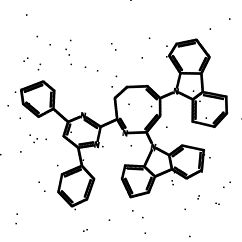 C1=C(n2c3ccccc3c3ccccc32)/C=C(n2c3ccccc3c3ccccc32)\N=C(\c2nc(-c3ccccc3)cc(-c3ccccc3)n2)CC\1